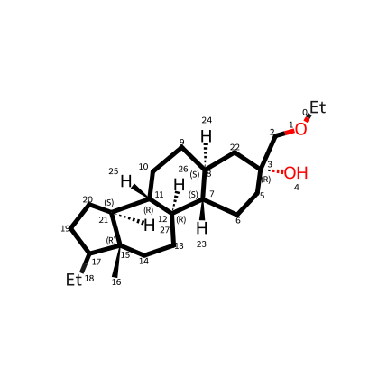 CCOC[C@@]1(O)CC[C@H]2[C@@H](CC[C@@H]3[C@@H]2CC[C@]2(C)C(CC)CC[C@@H]32)C1